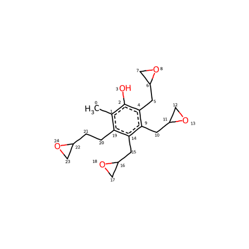 Cc1c(O)c(CC2CO2)c(CC2CO2)c(CC2CO2)c1CCC1CO1